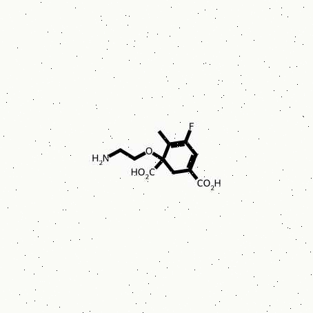 CC1=C(F)C=C(C(=O)O)CC1(OCCN)C(=O)O